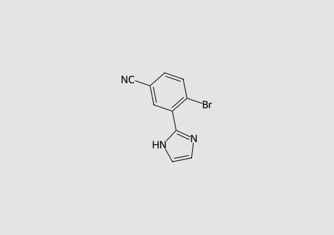 N#Cc1ccc(Br)c(-c2ncc[nH]2)c1